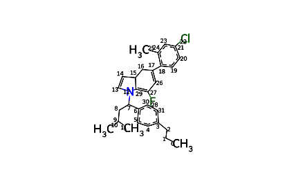 CCCc1ccc(C(CC(C)C)N2C=CC3CC(c4ccc(Cl)cc4C)=CC(F)=C32)cc1